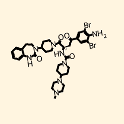 CN1CCN(C2CCN(C(=O)N[C@H](CC(=O)c3cc(Br)c(N)c(Br)c3)C(=O)N3CCC(N4CCc5ccccc5NC4=O)CC3)CC2)CC1